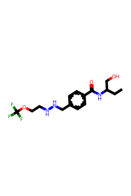 CCC(CO)NC(=O)c1ccc(CNNCCOC(F)(F)F)cc1